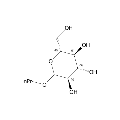 CC[CH]OC1O[C@H](CO)[C@@H](O)[C@H](O)[C@H]1O